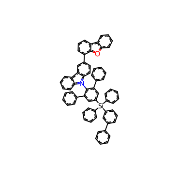 c1ccc(-c2cccc([Si](c3ccccc3)(c3ccccc3)c3cc(-c4ccccc4)c(-n4c5ccccc5c5cc(-c6cccc7c6oc6ccccc67)ccc54)c(-c4ccccc4)c3)c2)cc1